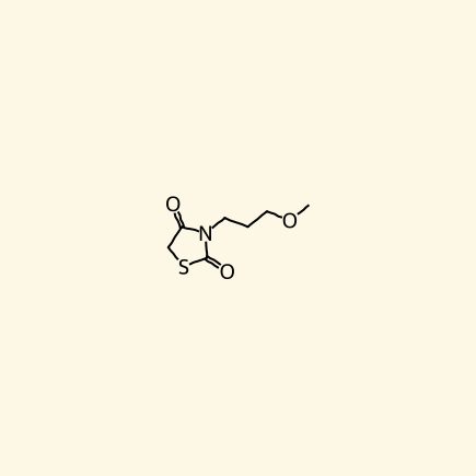 COCCCN1C(=O)CSC1=O